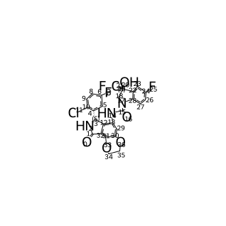 O=C1N[C@H](c2cc(F)ccc2Cl)c2c(NC(=O)N3C[C@@](O)(C(F)(F)F)c4cc(F)ccc43)cc3c(c21)OCCO3